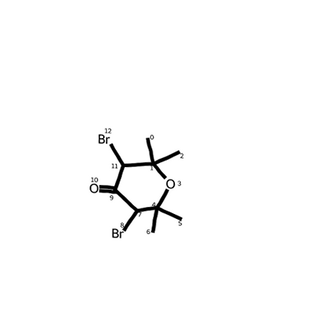 CC1(C)OC(C)(C)C(Br)C(=O)C1Br